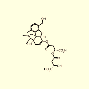 Cc1ccc(CO)c2c1[C@]13CCN(C)[C@H](C)[C@]1(O)CC=C(OC(=O)C[C@H](OC(=O)C[C@H](O)C(=O)O)C(=O)O)[C@@H]3O2